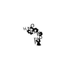 CC1(C)CCCN1c1nc(-n2ccc(OCCC3(C(F)(F)F)CC3)n2)ccc1C(N)=O